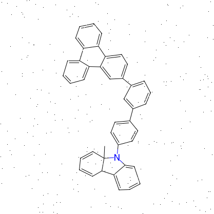 CC12C=CC=CC1c1ccccc1N2c1ccc(-c2cccc(-c3ccc4c5ccccc5c5ccccc5c4c3)c2)cc1